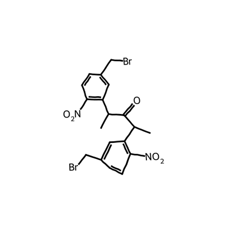 CC(C(=O)C(C)c1cc(CBr)ccc1[N+](=O)[O-])c1cc(CBr)ccc1[N+](=O)[O-]